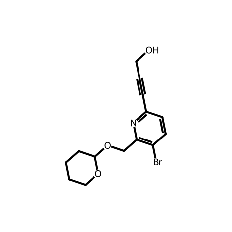 OCC#Cc1ccc(Br)c(COC2CCCCO2)n1